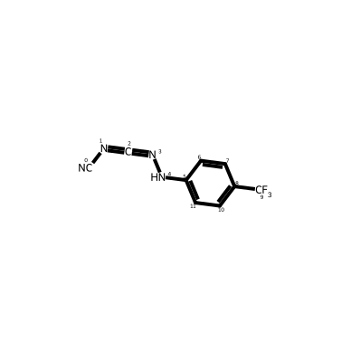 N#CN=C=NNc1ccc(C(F)(F)F)cc1